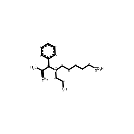 C=C(C)C(c1ccccc1)N(CCO)CCCCCC(=O)O